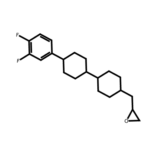 Fc1ccc(C2CCC(C3CCC(CC4CO4)CC3)CC2)cc1F